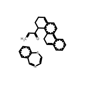 C1=CSc2ccccc2C=N1.C=CC(=O)C1CCC=c2ccc3c(c21)CC=c1ccccc1=3